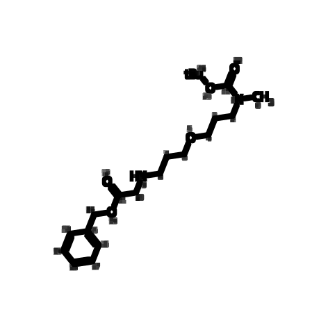 CN(CCCOCCCNCC(=O)OCc1ccccc1)C(=O)OC(C)(C)C